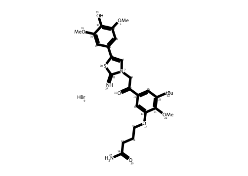 Br.COc1cc(-c2cn(CC(=O)c3cc(OCCCC(N)=O)c(OC)c(C(C)(C)C)c3)c(=N)s2)cc(OC)c1O